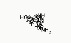 C[C@]12C[C@H]3CC(O)(CC(Nc4c(-c5nnc(N)s5)nnc5[nH]ccc45)(C3)C1)C2